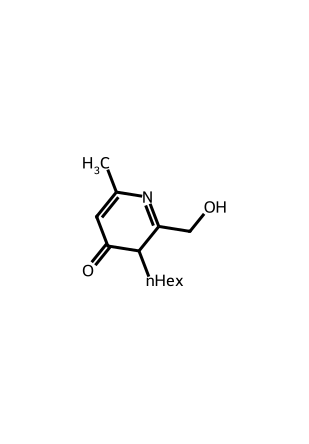 CCCCCCC1C(=O)C=C(C)N=C1CO